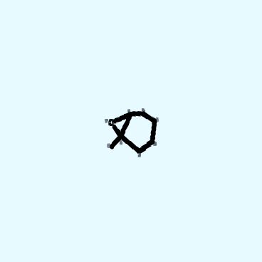 CC12CCC[CH]C1O2